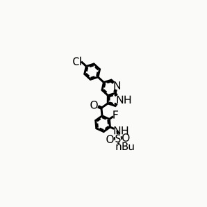 CCCCS(=O)(=O)Nc1cccc(C(=O)c2c[nH]c3ncc(-c4ccc(Cl)cc4)cc23)c1F